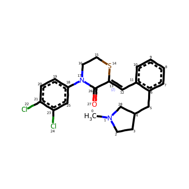 CN1CCC(Cc2ccccc2/C=C2\SCCN(c3ccc(Cl)c(Cl)c3)C2=O)C1